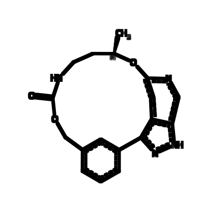 C[C@@H]1CCNC(=O)OCc2cccc(c2)-c2n[nH]c3cnc(cc23)O1